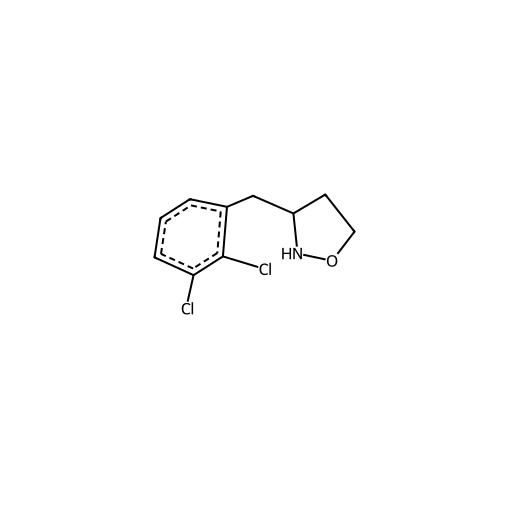 Clc1cccc(CC2CCON2)c1Cl